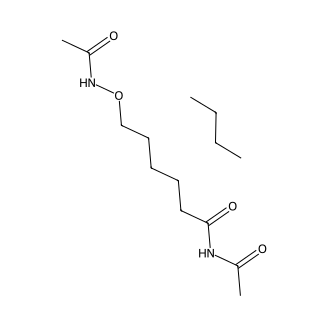 CC(=O)NOCCCCCC(=O)NC(C)=O.CCCC